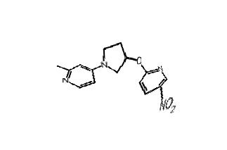 Cc1cc(N2CCC(Oc3ccc([N+](=O)[O-])cn3)C2)ccn1